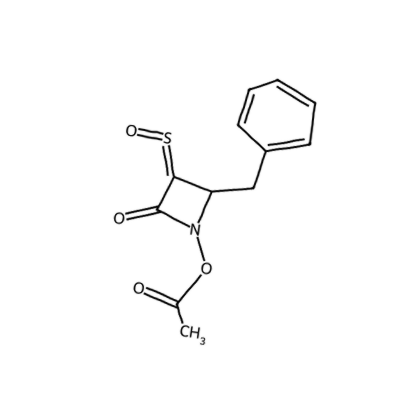 CC(=O)ON1C(=O)C(=S=O)C1Cc1ccccc1